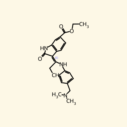 CCOC(=O)c1ccc2c(c1)NC(=O)/C2=C(\CC)Nc1ccc(CN(C)C)cc1